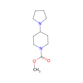 COC(=O)N1CCC(N2CCCC2)CC1